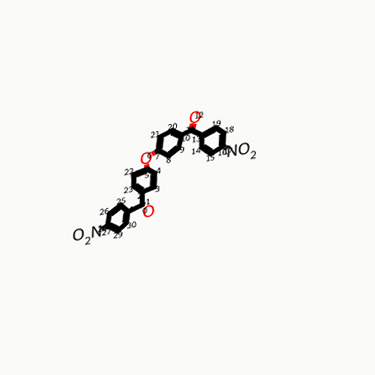 O=C(c1ccc(Oc2ccc(C(=O)c3ccc([N+](=O)[O-])cc3)cc2)cc1)c1ccc([N+](=O)[O-])cc1